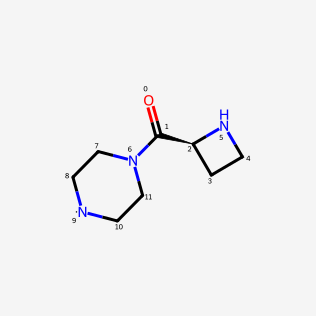 O=C([C@@H]1CCN1)N1CC[N]CC1